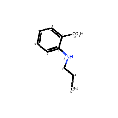 CC(C)(C)CCNc1ccccc1C(=O)O